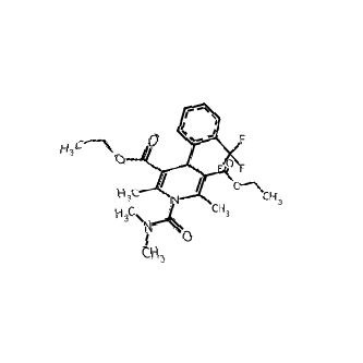 CCOC(=O)C1=C(C)N(C(=O)N(C)C)C(C)=C(C(=O)OCC)C1c1ccccc1C(F)(F)F